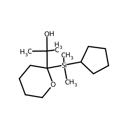 CC(C)(O)C1([Si](C)(C)C2CCCC2)CCCCO1